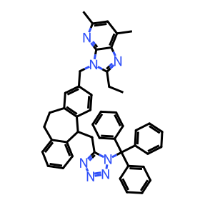 CCc1nc2c(C)cc(C)nc2n1Cc1ccc2c(c1)CCc1ccccc1C2Cc1nnnn1C(c1ccccc1)(c1ccccc1)c1ccccc1